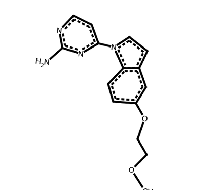 COCCOc1ccc2c(ccn2-c2ccnc(N)n2)c1